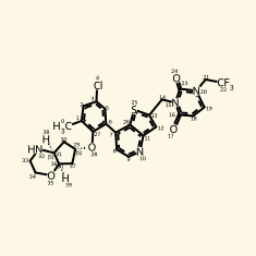 Cc1cc(Cl)cc(-c2ccnc3cc(Cn4c(=O)ccn(CC(F)(F)F)c4=O)sc23)c1O[C@H]1C[C@@H]2NCCO[C@@H]2C1